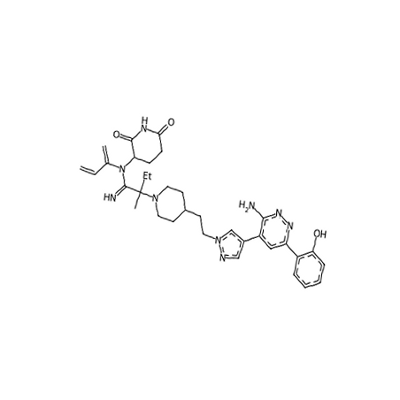 C=CC(=C)N(C(=N)C(C)(CC)N1CCC(CCn2cc(-c3cc(-c4ccccc4O)nnc3N)cn2)CC1)C1CCC(=O)NC1=O